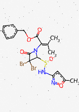 CC(C)=C(C(=O)OCc1ccccc1)N1C(=O)C(Br)(Br)C1[S+]([O-])Nc1cc(C)on1